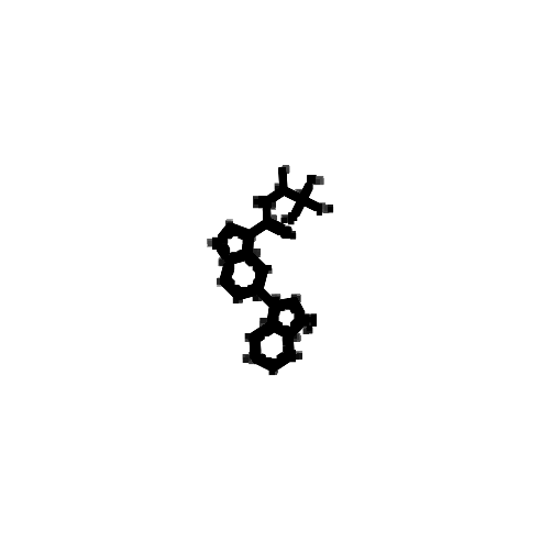 CC(NC(=O)c1cnn2ccc(-c3c[nH]c4ncncc34)cc12)C(F)(F)F